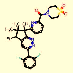 CCC1c2cc(-c3c(F)cccc3F)nnc2C(C)(c2cccc(C(=O)N3CCS(=O)(=O)CC3)n2)C1(C)C